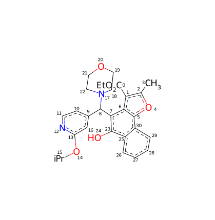 CCOC(=O)c1c(C)oc2c1c(C(c1ccnc(OC(C)C)c1)N1CCOCC1)c(O)c1ccccc12